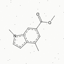 COC(=O)c1cc(C)c2ccn(C)c2c1